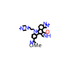 CO/N=C(\C)c1ccc2c(c1)c1c3c(c4c(c1n2CCCN1CCN(C)CC1)CCc1nn(C)cc1-4)C(=O)NC3